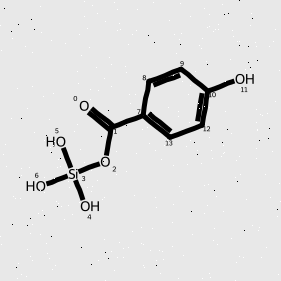 O=C(O[Si](O)(O)O)c1ccc(O)cc1